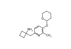 Cc1nc(CC2(N)CCC2)ccc1OC1CCCCO1